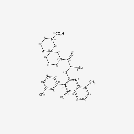 CCCCC(Sc1nc2c(C)cccc2c(=O)n1-c1cccc(Cl)c1)C(=O)N1CCCC2(CCCN(C(=O)O)C2)C1